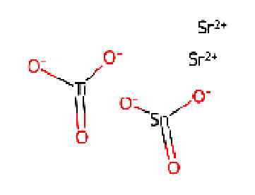 [O]=[Sn]([O-])[O-].[O]=[Ti]([O-])[O-].[Sr+2].[Sr+2]